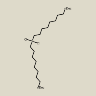 CCCCCCCCCCCCCCCCCC[Si](Cl)(Cl)CCCCCCCCCCCCCCCCCC